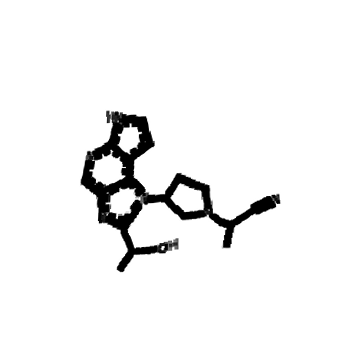 CC(O)c1nc2cnc3[nH]ccc3c2n1C1CCN(C(C)C#N)C1